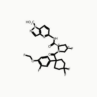 O=C(Nc1ccc2c(cnn2C(=O)O)n1)[C@H]1C[C@@H](F)CN1C(=O)C1(c2ccc(OCF)c(F)c2)CCC(F)(F)CC1